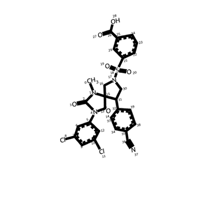 CN1C(=O)N(c2cc(Cl)cc(Cl)c2)C(=O)C12CN(S(=O)(=O)c1cccc(C(=O)O)c1)CC2c1ccc(C#N)cc1